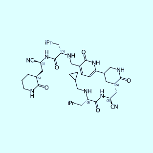 CC(C)C[C@H](NCc1ccc(C2CNC(=O)[C@H](C[C@@H](C#N)NC(=O)[C@H](CC(C)C)NCC3CC3)C2)[nH]c1=O)C(=O)N[C@H](C#N)C[C@@H]1CCCNC1=O